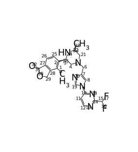 Cc1c([C@@H]2CN(Cc3cn(-c4ccnc(C(F)F)n4)cn3)C[C@H](C)N2)ccc2c1COC2=O